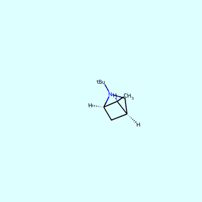 C[C@H]1[C@@H]2C[C@H]1N(C(C)(C)C)C2